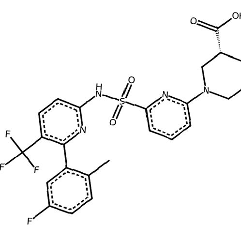 Cc1ccc(F)cc1-c1nc(NS(=O)(=O)c2cccc(N3CCC[C@@H](C(=O)O)C3)n2)ccc1C(F)(F)F